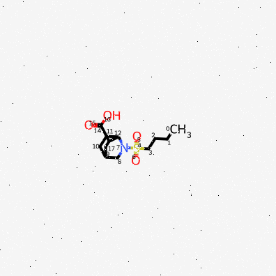 CCCCS(=O)(=O)N1CC2CCC1C(C(=O)O)C2